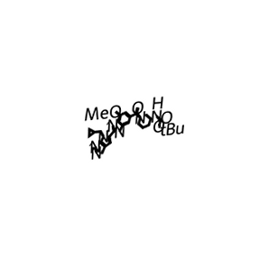 COc1cc(C(=O)N2CCCC(NC(=O)OC(C)(C)C)C2)cc2nc(-c3cc4cnn(C)c4n3CC3CC3)n(C)c12